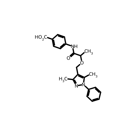 Cc1nn(-c2ccccc2)c(C)c1COC(C)C(=O)Nc1ccc(C(=O)O)cc1